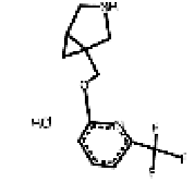 Cl.FC(F)(F)c1cccc(OCC23CNCC2C3)n1